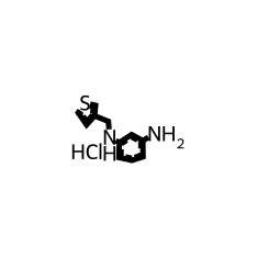 Cl.Nc1cccc(NCc2ccsc2)c1